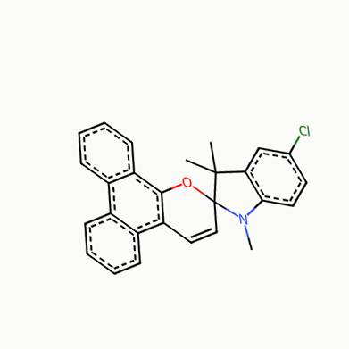 CN1c2ccc(Cl)cc2C(C)(C)C12C=Cc1c(c3ccccc3c3ccccc13)O2